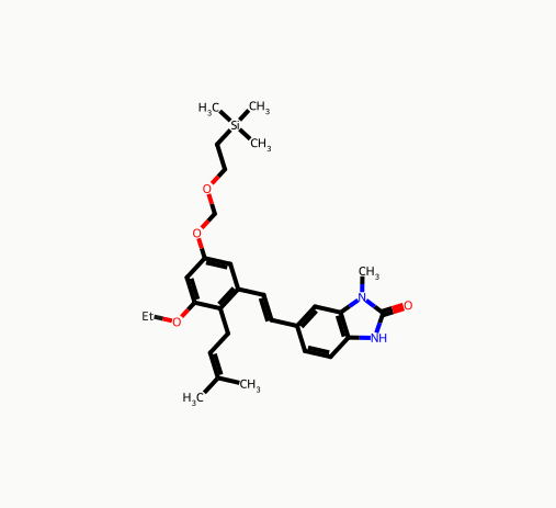 CCOc1cc(OCOCC[Si](C)(C)C)cc(C=Cc2ccc3[nH]c(=O)n(C)c3c2)c1CC=C(C)C